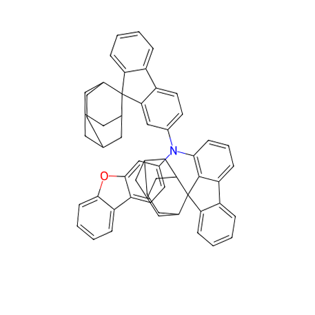 c1ccc2c(c1)-c1ccc(N(c3ccc4c(c3)oc3ccccc34)c3cccc4c3C3(c5ccccc5-4)C4CCC5CC(C4)CC3C5)cc1C21C2CCC3CC(C2)CC1C3